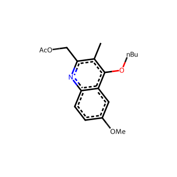 CCCCOc1c(C)c(COC(C)=O)nc2ccc(OC)cc12